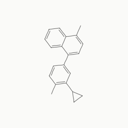 Cc1ccc(-c2ccc(C)c3ccccc23)cc1C1CC1